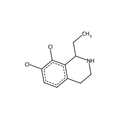 CCC1NCCc2ccc(Cl)c(Cl)c21